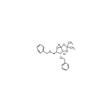 CC1(C)O[C@H]2O[C@H](COCc3ccccc3)[C@@H](OCc3ccccc3)[C@@H]2O1